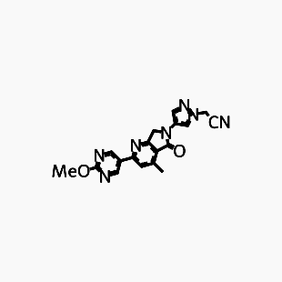 COc1ncc(-c2cc(C)c3c(n2)CN(c2cnn(CC#N)c2)C3=O)cn1